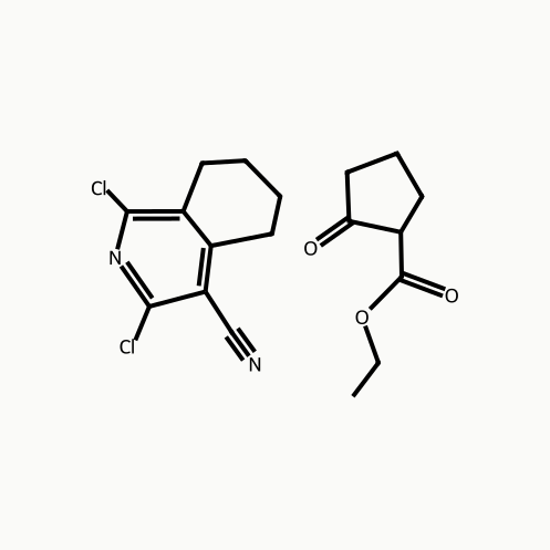 CCOC(=O)C1CCCC1=O.N#Cc1c(Cl)nc(Cl)c2c1CCCC2